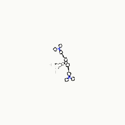 CCCCCCC1(CCCCCC)c2cc(C#Cc3ccc(N(c4ccccc4)c4ccccc4)cc3)ccc2-c2ccc(C#Cc3ccc(N(c4ccccc4)c4ccccc4)cc3)cc21